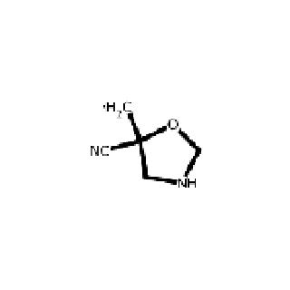 [CH2]C1(C#N)CNCO1